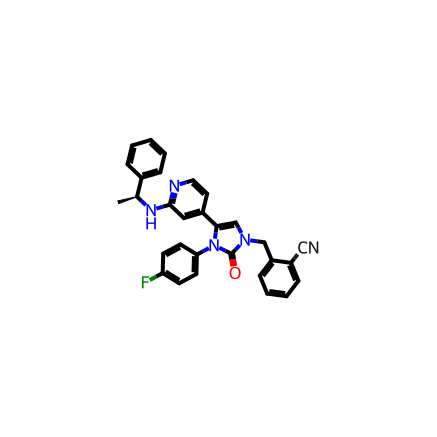 C[C@H](Nc1cc(-c2cn(Cc3ccccc3C#N)c(=O)n2-c2ccc(F)cc2)ccn1)c1ccccc1